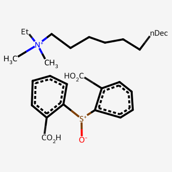 CCCCCCCCCCCCCCCC[N+](C)(C)CC.O=C(O)c1ccccc1[S+]([O-])c1ccccc1C(=O)O